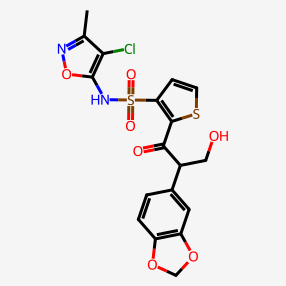 Cc1noc(NS(=O)(=O)c2ccsc2C(=O)C(CO)c2ccc3c(c2)OCO3)c1Cl